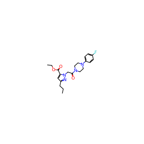 CCCc1cc(C(=O)OCC)n(CC(=O)N2CCN(c3ccc(F)cc3)CC2)n1